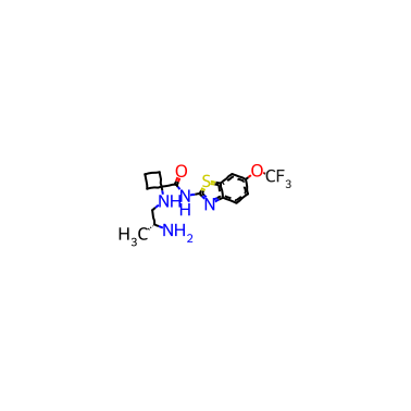 C[C@@H](N)CNC1(C(=O)Nc2nc3ccc(OC(F)(F)F)cc3s2)CCC1